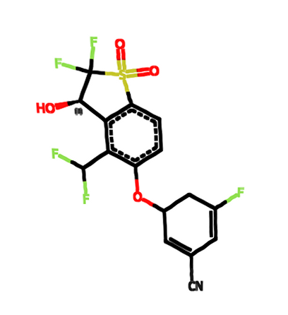 N#CC1=CC(Oc2ccc3c(c2C(F)F)[C@@H](O)C(F)(F)S3(=O)=O)CC(F)=C1